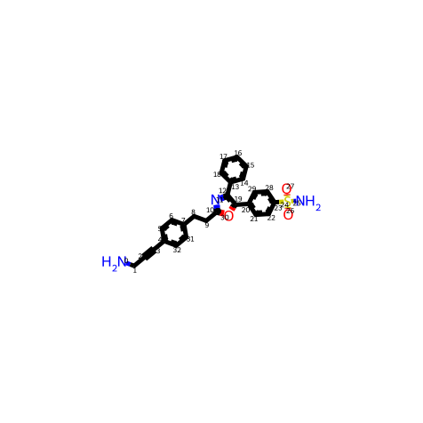 NCC#Cc1ccc(CCc2nc(-c3ccccc3)c(-c3ccc(S(N)(=O)=O)cc3)o2)cc1